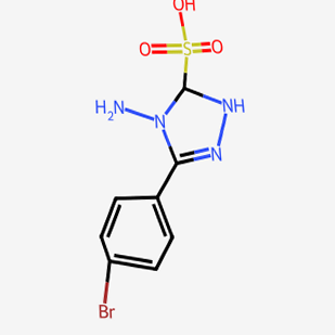 NN1C(c2ccc(Br)cc2)=NNC1S(=O)(=O)O